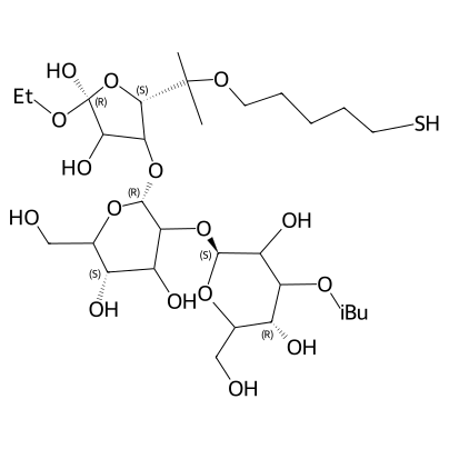 CCO[C@@]1(O)O[C@H](C(C)(C)OCCCCCS)C(O[C@H]2OC(CO)[C@@H](O)C(O)C2O[C@@H]2OC(CO)[C@@H](O)C(OC(C)CC)C2O)C1O